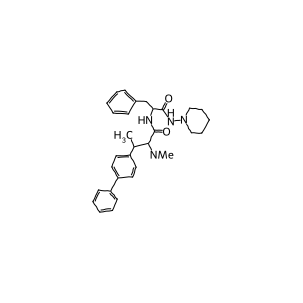 CNC(C(=O)NC(Cc1ccccc1)C(=O)NN1CCCCC1)C(C)c1ccc(-c2ccccc2)cc1